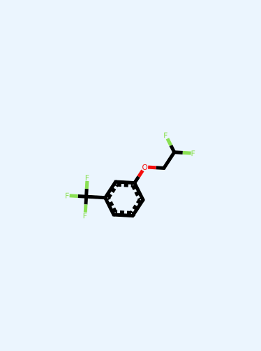 FC(F)COc1c[c]cc(C(F)(F)F)c1